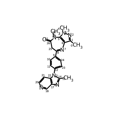 Cc1nn(C)c2c1N=C(c1ccc(-n3c(C)nc4cnccc43)cc1)CC(=O)N2C